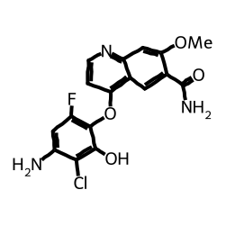 COc1cc2nccc(Oc3c(F)cc(N)c(Cl)c3O)c2cc1C(N)=O